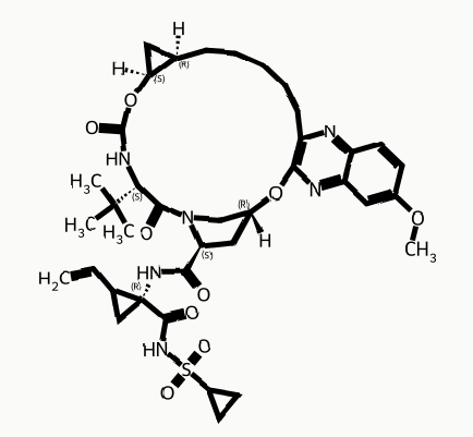 C=CC1C[C@]1(NC(=O)[C@@H]1C[C@@H]2CN1C(=O)[C@H](C(C)(C)C)NC(=O)O[C@H]1C[C@H]1CCCCCc1nc3ccc(OC)cc3nc1O2)C(=O)NS(=O)(=O)C1CC1